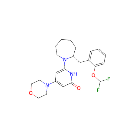 O=c1cc(N2CCOCC2)cc(N2CCCCC[C@@H]2Cc2ccccc2OC(F)F)[nH]1